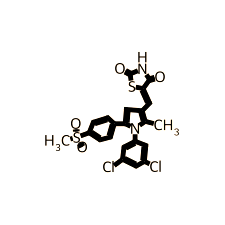 Cc1c(C=C2SC(=O)NC2=O)cc(-c2ccc(S(C)(=O)=O)cc2)n1-c1cc(Cl)cc(Cl)c1